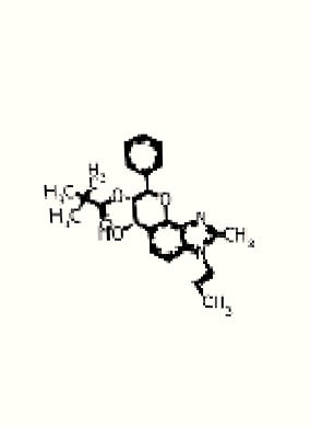 CC=Cn1c(C)nc2c3c(ccc21)[C@@H](O)[C@H](OC(=O)C(C)(C)C)[C@@H](c1ccccc1)O3